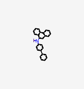 IN(c1ccc(-c2ccccc2)cc1)c1cc2ccccc2c2ccccc12